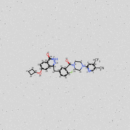 N#Cc1cnc(N2CCN(C(=O)c3cc(Cc4n[nH]c(=O)c5ccc(OC6CCC6)cc45)ccc3F)CC2)cc1C(F)(F)F